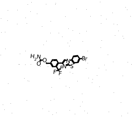 NC(=O)OCc1ccc(-c2cn3c(n2)sc2cc(Br)ccc23)c(C(F)(F)F)c1